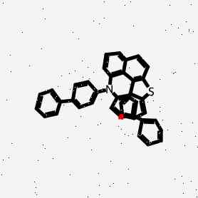 c1ccc(-c2ccc(N(c3ccc(-c4ccccc4)cc3)c3cccc4ccc5sc6ccccc6c5c34)cc2)cc1